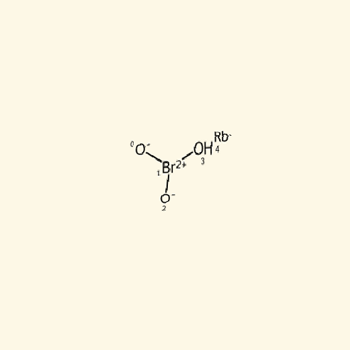 [O-][Br+2]([O-])O.[Rb]